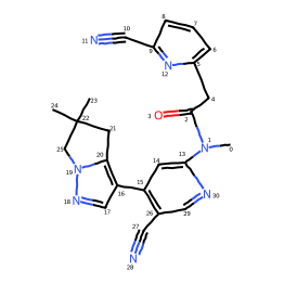 CN(C(=O)Cc1cccc(C#N)n1)c1cc(-c2cnn3c2CC(C)(C)C3)c(C#N)cn1